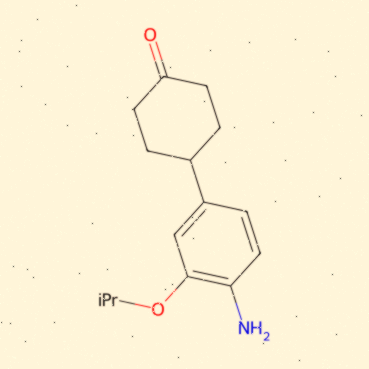 CC(C)Oc1cc(C2CCC(=O)CC2)ccc1N